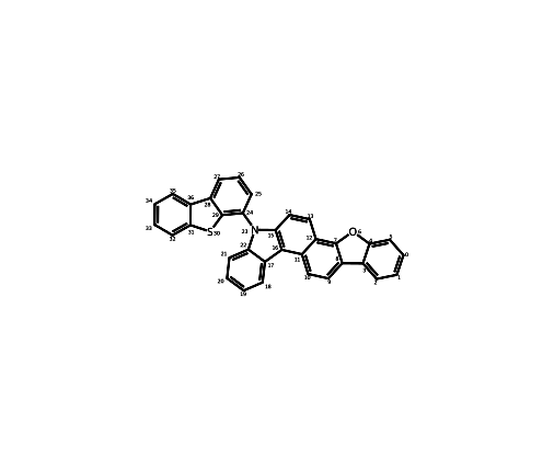 c1ccc2c(c1)oc1c2ccc2c1ccc1c2c2ccccc2n1-c1cccc2c1sc1ccccc12